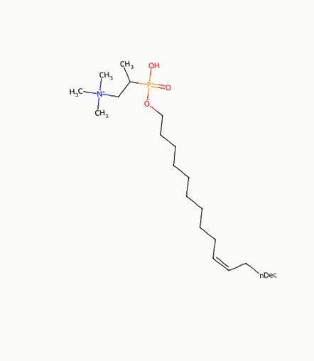 CCCCCCCCCCC/C=C\CCCCCCCCCOP(=O)(O)C(C)C[N+](C)(C)C